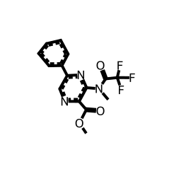 COC(=O)c1ncc(-c2ccccc2)nc1N(C)C(=O)C(F)(F)F